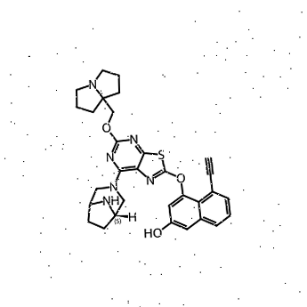 C#Cc1cccc2cc(O)cc(Oc3nc4c(N5CC6CC[C@@H](C5)N6)nc(OCC56CCCN5CCC6)nc4s3)c12